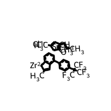 CC1=C2c3cc(C)oc3C1[Si]2(C)C.CC1=Cc2c(-c3ccc(C(C(F)(F)F)(C(F)(F)F)C(F)(F)F)cc3)cccc2[CH]1[Zr+2].[Cl-].[Cl-]